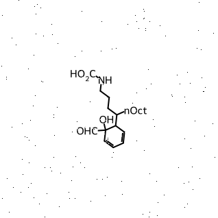 CCCCCCCCC(CCCNC(=O)O)C1C=CC=CC1(O)C=O